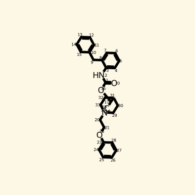 O=C(Nc1ccccc1Cc1ccccc1)OC1C[N+]2(CCOc3ccccc3)CCC1CC2